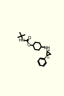 CC(C)(C)NC(=O)OC1CCC(N[C@@H]2C[C@H]2c2ccccc2)CC1